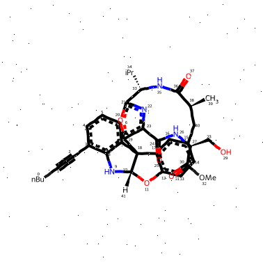 CCCCC#Cc1cccc2c1N[C@H]1Oc3ccc4cc3C21c1oc(nc1C(=O)N[C@@H](CO)C(=O)OC)[C@H](C(C)C)NC(=O)[C@@H](C)C4